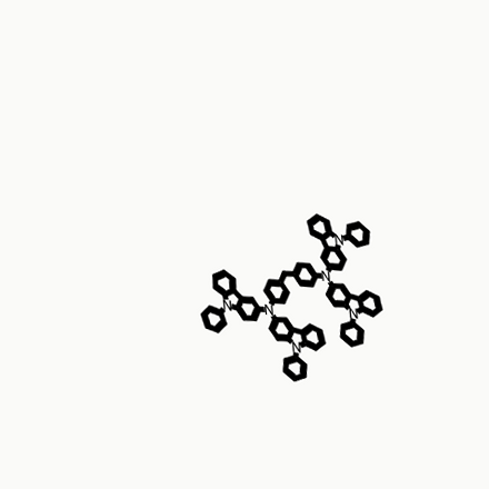 c1ccc(-n2c3ccccc3c3cc(N(c4ccc(Cc5ccc(N(c6ccc7c(c6)c6ccccc6n7-c6ccccc6)c6ccc7c(c6)c6ccccc6n7-c6ccccc6)cc5)cc4)c4ccc5c(c4)c4ccccc4n5-c4ccccc4)ccc32)cc1